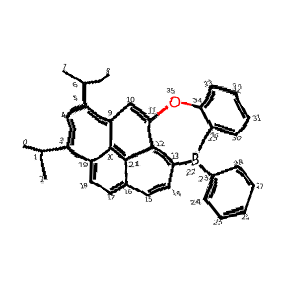 CC(C)c1cc(C(C)C)c2cc3c4c(ccc5ccc1c2c54)B(c1ccccc1)c1ccccc1O3